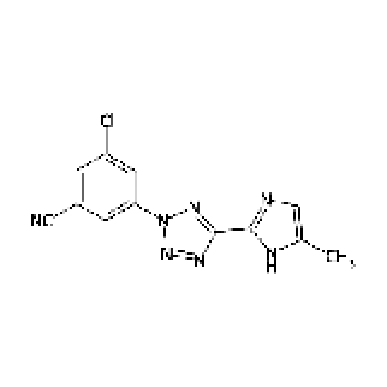 Cc1cnc(-c2nnn(-c3cc(Cl)cc(C#N)c3)n2)[nH]1